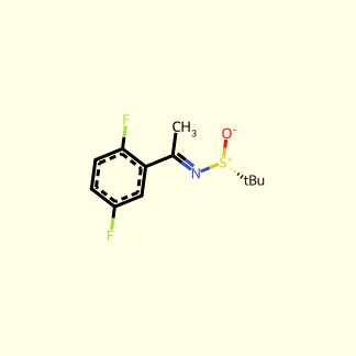 C/C(=N\[S@+]([O-])C(C)(C)C)c1cc(F)ccc1F